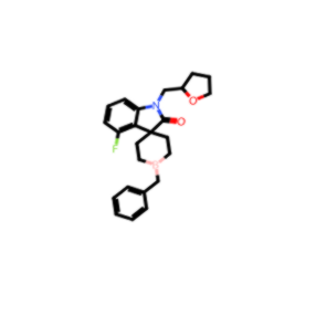 O=C1N(CC2CCCO2)c2cccc(F)c2C12CCB(Cc1ccccc1)CC2